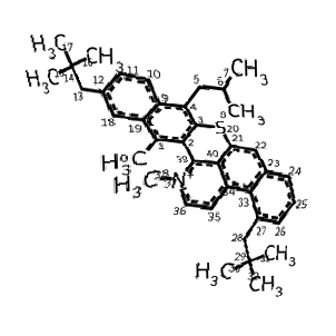 Cc1c2c(c(CC(C)C)c3ccc(CC(C)(C)C)cc13)Sc1cc3cccc(CC(C)(C)C)c3c3cc[n+](C)c-2c13